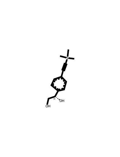 CS(C)(C)C#Cc1ccc([C@H](O)CO)cc1